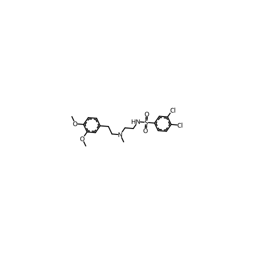 COc1ccc(CCN(C)CCNS(=O)(=O)c2ccc(Cl)c(Cl)c2)cc1OC